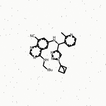 Cc1ncccc1[C@H](Nc1cc(C#N)c2ncnc(NCC(C)(C)C)c2c1)c1cn(C23CC(C2)C3)nn1